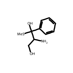 CSC(O)(c1ccccc1)C(N)CO